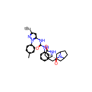 Cc1ccc(-n2nc(C(C)(C)C)cc2NC(=O)Nc2cccc(CC3CC4CCC(C3)N4C(=O)[C@@H]3CCC(=O)N3)c2)cc1